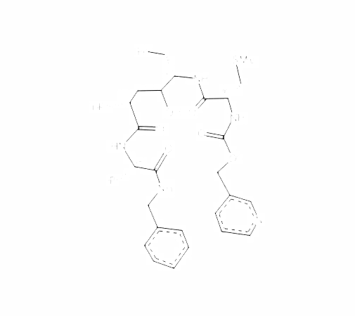 CCC[C@H](CC(O)[C@H](CC(C)C)NC(=O)[C@H](CSC)NC(=O)OCc1cccnc1)C(=O)N[C@H](C(=O)NCc1ccccc1)C(C)C